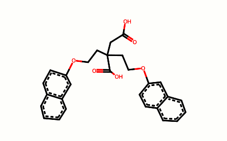 O=C(O)CC(CCOc1ccc2ccccc2c1)(CCOc1ccc2ccccc2c1)C(=O)O